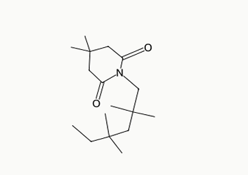 CCC(C)(C)CC(C)(C)CN1C(=O)CC(C)(C)CC1=O